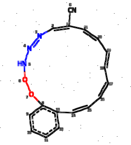 N#CC1=C/N=N\NOOc2ccccc2/C=C\C=C/C=C/C=C\1